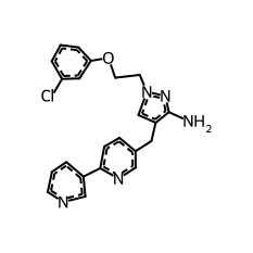 Nc1nn(CCOc2cccc(Cl)c2)cc1Cc1ccc(-c2cccnc2)nc1